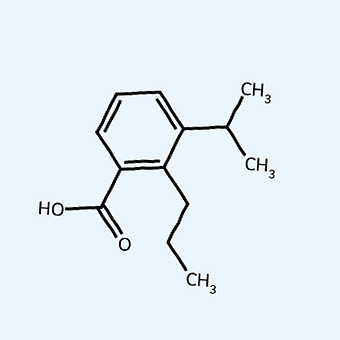 CCCc1c(C(=O)O)cccc1C(C)C